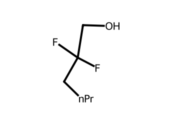 CCCCC(F)(F)CO